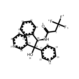 O=C(CC(F)(F)F)N[C@H](c1ccccc1)C(O)(c1cccnc1)c1cccnc1